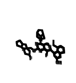 CCc1cccc2cc(O)cc(-c3ncc4c(N5CC6CCC(C5)N6)nc(OCC56CC(F)CN5C5CCCC5C6)nc4c3F)c12